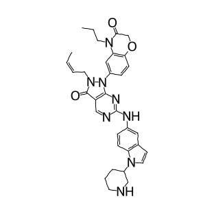 C/C=C\Cn1c(=O)c2cnc(Nc3ccc4c(ccn4C4CCCNC4)c3)nc2n1-c1ccc2c(c1)N(CCC)C(=O)CO2